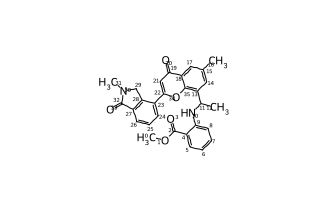 COC(=O)c1ccccc1NC(C)c1cc(C)cc2c(=O)cc(-c3cccc4c3CN(C)C4=O)oc12